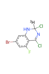 [2H]C1(Cl)N=C(Cl)c2c(F)cc(Br)cc2N1